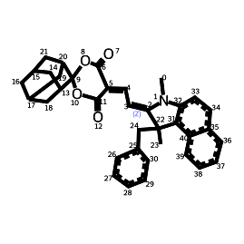 CN1/C(=C\C=C2C(=O)OC3(OC2=O)C2CC4CC(C2)CC3C4)C(C)(Cc2ccccc2)c2c1ccc1ccccc21